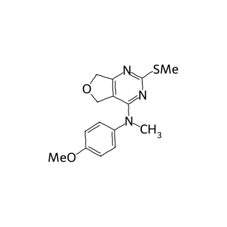 COc1ccc(N(C)c2nc(SC)nc3c2COC3)cc1